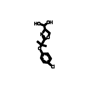 CC(C)(Oc1ccc(Cl)cc1)C1=NC(C(O)O)CO1